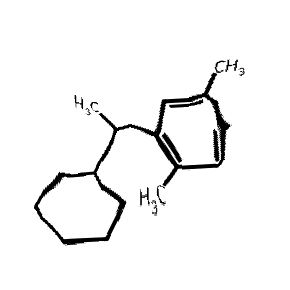 Cc1ccc(C)c(C(C)C2CCCCC2)c1